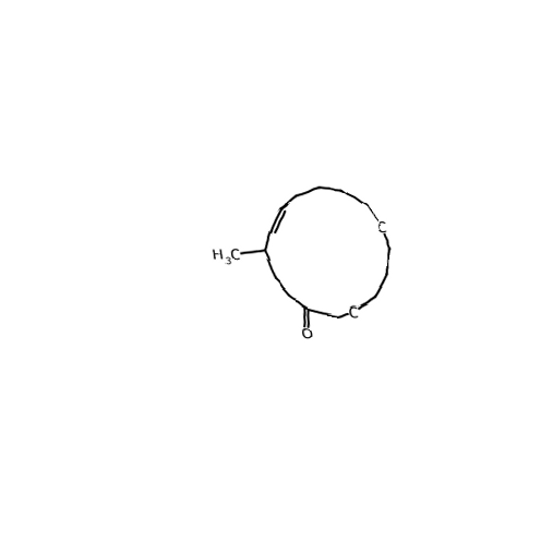 CC1C=CCCCCCCCCCCC(=O)CC1